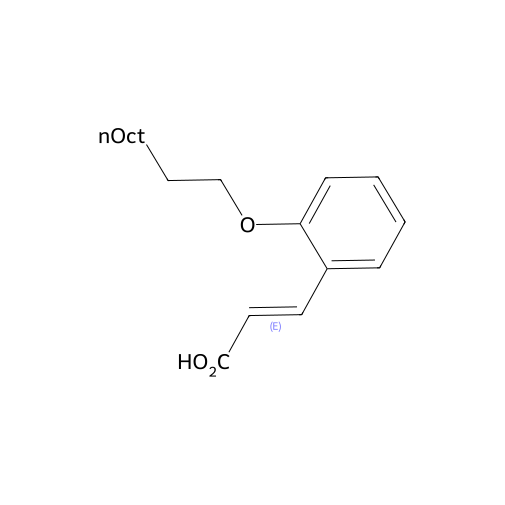 CCCCCCCCCCOc1ccccc1/C=C/C(=O)O